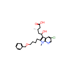 C[C@H](CC(=O)O)CC(O)c1c(CCCCOCc2ccccc2)n(C)c2ncc(Cl)cc12